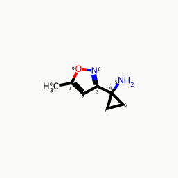 Cc1cc(C2(N)CC2)no1